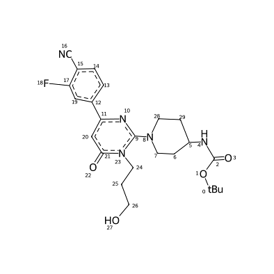 CC(C)(C)OC(=O)NC1CCN(c2nc(-c3ccc(C#N)c(F)c3)cc(=O)n2CCCO)CC1